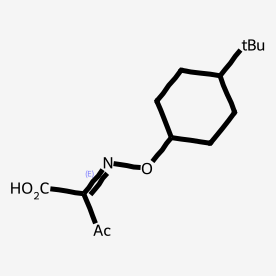 CC(=O)/C(=N\OC1CCC(C(C)(C)C)CC1)C(=O)O